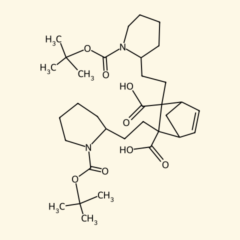 CC(C)(C)OC(=O)N1CCCCC1CCC1(C(=O)O)C2C=CC(C2)C1(CCC1CCCCN1C(=O)OC(C)(C)C)C(=O)O